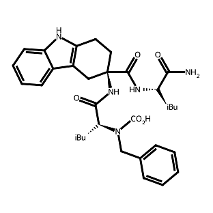 CC[C@H](C)[C@H](NC(=O)[C@@]1(NC(=O)[C@H]([C@@H](C)CC)N(Cc2ccccc2)C(=O)O)CCc2[nH]c3ccccc3c2C1)C(N)=O